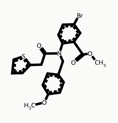 COC(=O)c1cc(Br)ccc1N(Cc1ccc(OC)cc1)C(=O)Cc1cccs1